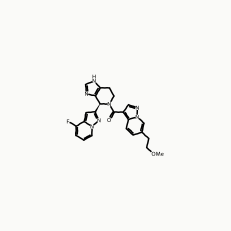 COCCc1ccc2c(C(=O)N3CCc4[nH]cnc4[C@@H]3c3cc4c(F)cccn4n3)cnn2c1